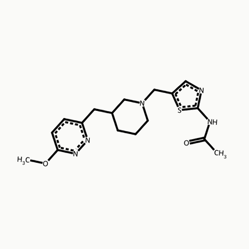 COc1ccc(CC2CCCN(Cc3cnc(NC(C)=O)s3)C2)nn1